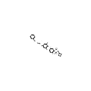 Cc1cc(NC(=O)COCc2ccccc2)cc(C)c1Oc1ccc(O)c(S(=O)(=O)CC2CCC2)c1